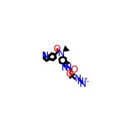 Cn1ccc2ccc(C(=O)N(C3CC3)C3CCc4nn(C(=O)OC(C)(C)CN=[N+]=[N-])cc4C3)cc21